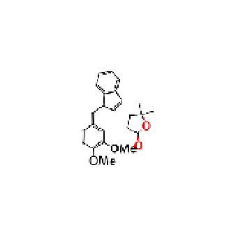 CC1(C)CCC(=O)O1.COc1ccc(CC2C=Cc3ccccc32)cc1OC